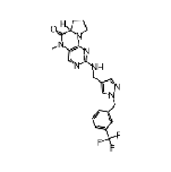 CN1C(=O)[C@@H]2CCCN2c2nc(NCc3cnn(Cc4cccc(C(F)(F)F)c4)c3)ncc21